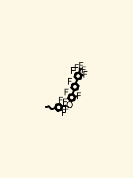 CCCc1cc(F)c(C(F)(F)Oc2cc(F)c(-c3ccc(-c4cc(F)c(C(F)(F)F)c(F)c4)c(F)c3)c(F)c2)c(F)c1